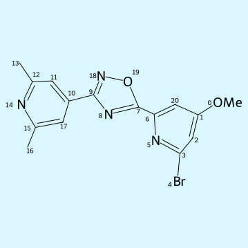 COc1cc(Br)nc(-c2nc(-c3cc(C)nc(C)c3)no2)c1